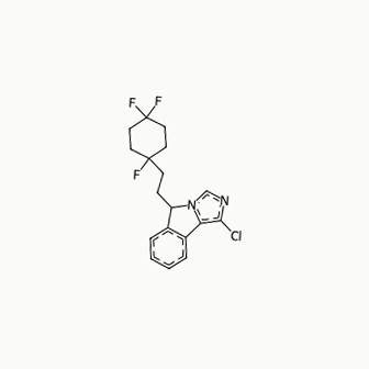 FC1(F)CCC(F)(CCC2c3ccccc3-c3c(Cl)ncn32)CC1